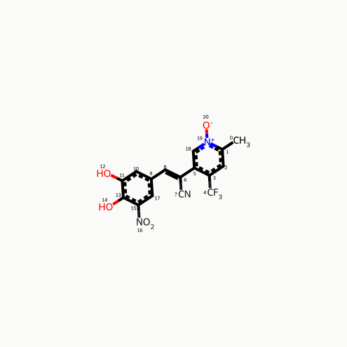 Cc1cc(C(F)(F)F)c(/C(C#N)=C/c2cc(O)c(O)c([N+](=O)[O-])c2)c[n+]1[O-]